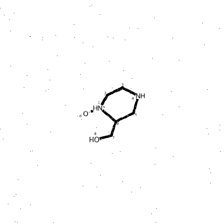 [O-][NH+]1CCNCC1CO